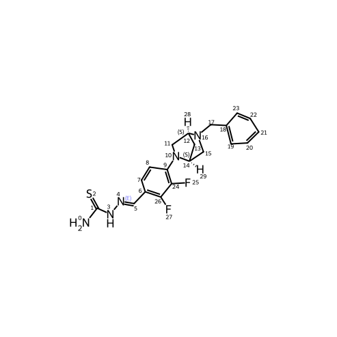 NC(=S)N/N=C/c1ccc(N2C[C@@H]3C[C@H]2CN3Cc2ccccc2)c(F)c1F